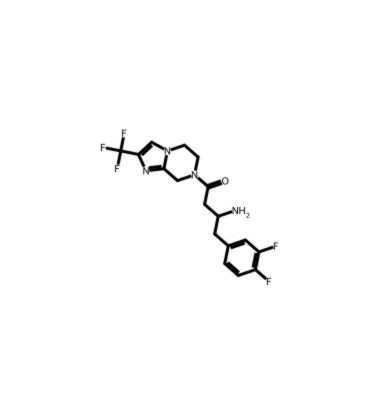 NC(CC(=O)N1CCn2cc(C(F)(F)F)nc2C1)Cc1ccc(F)c(F)c1